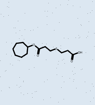 O=C(O)CCSCCC(=O)OC1CCCCCC1